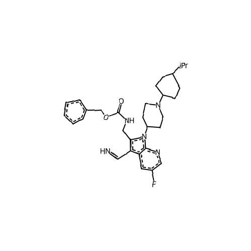 CC(C)C1CCC(N2CCC(n3c(CNC(=O)OCc4ccccc4)c(C=N)c4cc(F)cnc43)CC2)CC1